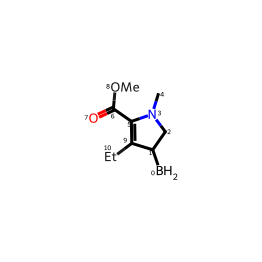 BC1CN(C)C(C(=O)OC)=C1CC